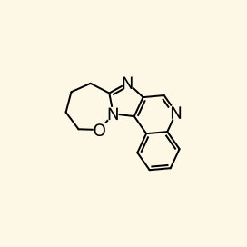 c1ccc2c(c1)ncc1nc3n(c12)OCCCC3